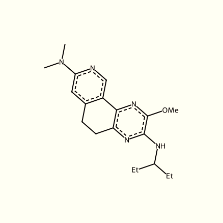 CCC(CC)Nc1nc2c(nc1OC)-c1cnc(N(C)C)cc1CC2